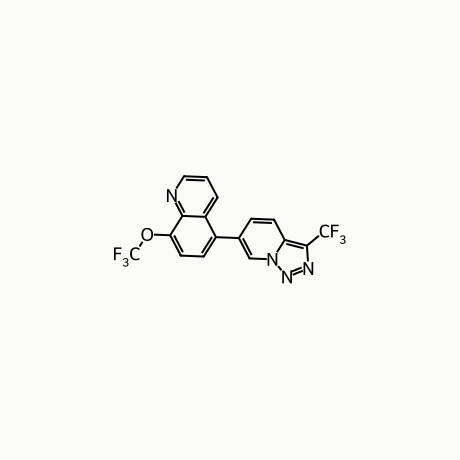 FC(F)(F)Oc1ccc(-c2ccc3c(C(F)(F)F)nnn3c2)c2cccnc12